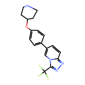 FC(F)(F)c1nnc2ccc(-c3ccc(OC4CCNCC4)cc3)cn12